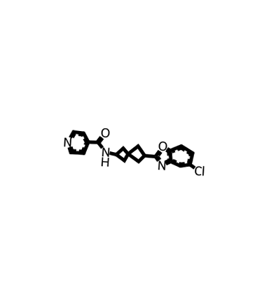 O=C(NC1CC2(C1)CC(c1nc3cc(Cl)ccc3o1)C2)c1ccncc1